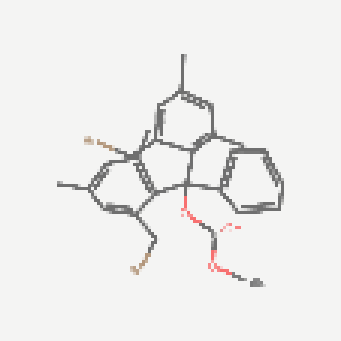 CCCCOB(O)OC(c1ccccc1)(c1c(C)cc(C)cc1CBr)c1c(C)cc(C)cc1CBr